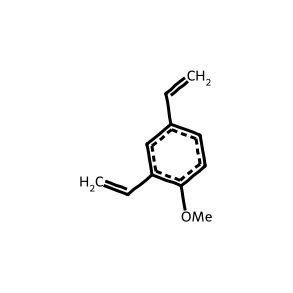 C=Cc1ccc(OC)c(C=C)c1